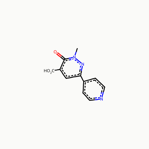 Cn1nc(-c2ccncc2)cc(C(=O)O)c1=O